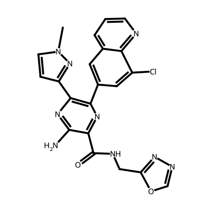 Cn1ccc(-c2nc(N)c(C(=O)NCc3nnco3)nc2-c2cc(Cl)c3ncccc3c2)n1